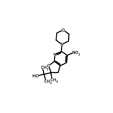 CC(C)(O)C1(C)Cc2cc([N+](=O)[O-])c(N3CCOCC3)nc2O1